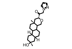 C[C@@]1(O)CC[C@@H]2C3CC[C@]4(C)C[C@@H](C(=O)Cn5cccn5)OCC4C3CC[C@@H]2C1